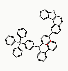 c1ccc(-c2ccccc2N(c2ccc(-c3ccc4ccc5oc6ccccc6c5c4c3)cc2)c2ccc([Si](c3ccccc3)(c3ccccc3)c3ccccc3)cc2)cc1